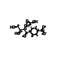 O=C(c1ccc([N+](=O)[O-])cc1)C(O)C(O)CO.O=CO